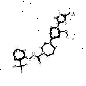 COc1cc(N2CCCN(C(=O)NCc3ccccc3C(F)(F)F)CC2)ccc1-c1cnc(C)o1